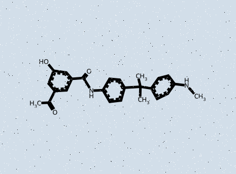 CNc1ccc(C(C)(C)c2ccc(NC(=O)c3cc(O)cc(C(C)=O)c3)cc2)cc1